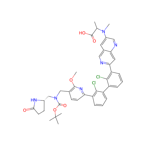 COc1nc(-c2cccc(-c3cccc(-c4cc5ncc(N(C)C(C)C(=O)O)cc5cn4)c3Cl)c2Cl)ccc1CN(C[C@@H]1CCC(=O)N1)C(=O)OC(C)(C)C